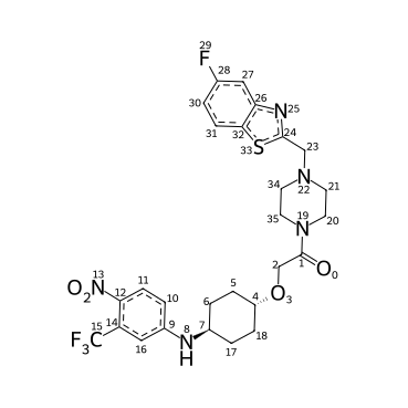 O=C(CO[C@H]1CC[C@H](Nc2ccc([N+](=O)[O-])c(C(F)(F)F)c2)CC1)N1CCN(Cc2nc3cc(F)ccc3s2)CC1